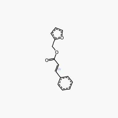 O=C(/C=C/c1ccccc1)OCc1ccco1